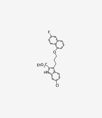 CCOC(=O)c1[nH]c2cc(Cl)ccc2c1CCCOc1cccc2cc(F)ccc12